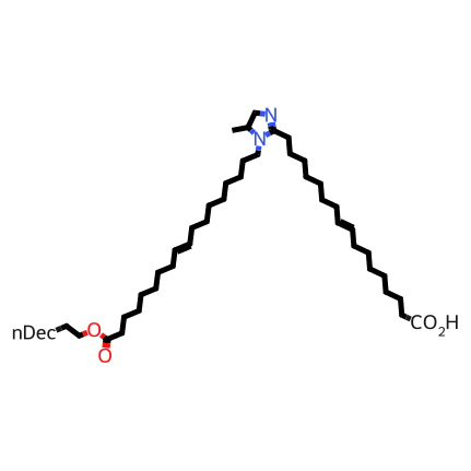 CCCCCCCCCCCCOC(=O)CCCCCCCC=CCCCCCCCCN1C(CCCCCCCC=CCCCCCCCC(=O)O)=NCC1C